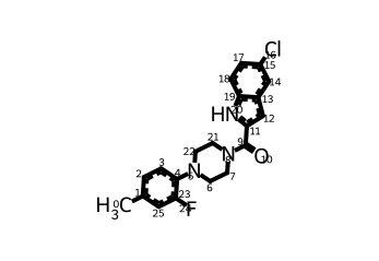 Cc1ccc(N2CCN(C(=O)c3cc4cc(Cl)ccc4[nH]3)CC2)c(F)c1